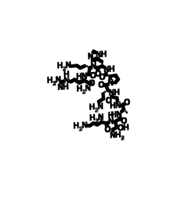 C[C@H](NC(=O)[C@@H](NC(=O)[C@@H](N)CCCN)C(O)CN)C(=O)NCC(=O)N[C@H](CCCN)C(=O)N1CCC[C@H]1C(=O)N[C@@H](Cc1cnc[nH]1)C(=O)N[C@@H](CCCCN)C(=O)N/C(=C\CCNC(=N)N)C(N)=O